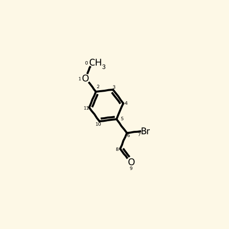 COc1ccc(C(Br)C=O)cc1